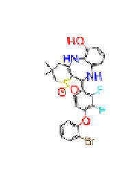 CC1(C)CC2=C(C(c3ccc(Oc4ccccc4Br)c(F)c3F)Nc3cccc(O)c3N2)S(=O)(=O)C1